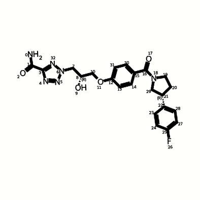 NC(=O)c1nnn(C[C@@H](O)COc2ccc(C(=O)N3CC[C@H](c4ccc(F)cc4)C3)cc2)n1